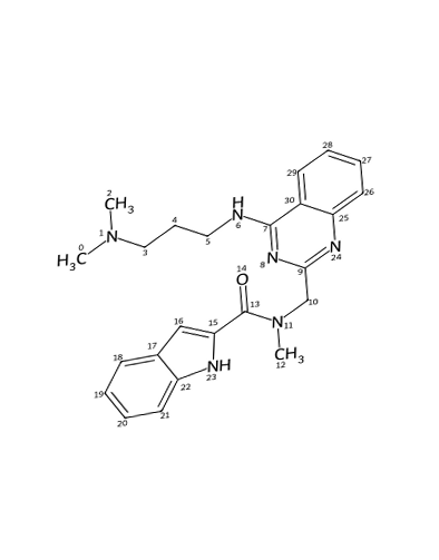 CN(C)CCCNc1nc(CN(C)C(=O)c2cc3ccccc3[nH]2)nc2ccccc12